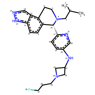 CC(C)CN1CCc2c(ccc3[nH]ncc23)[C@H]1c1ccc(NC2CN(CCCF)C2)cn1